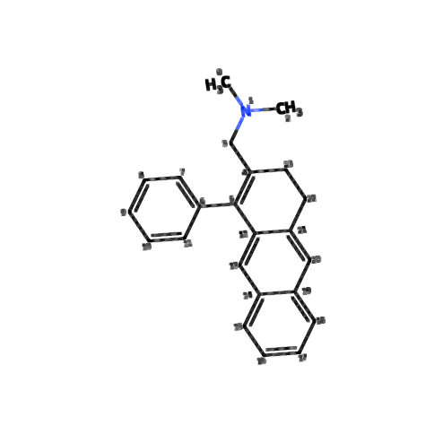 CN(C)CC1=C(c2ccccc2)c2cc3ccccc3cc2CC1